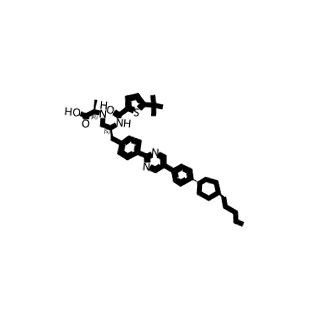 CCCCC[C@H]1CC[C@H](c2ccc(-c3cnc(-c4ccc(C[C@@H](CN[C@H](C)C(=O)O)NC(=O)c5ccc(C(C)(C)C)s5)cc4)nc3)cc2)CC1